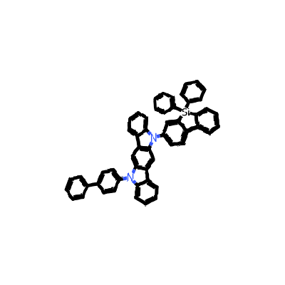 c1ccc(-c2ccc(-n3c4ccccc4c4cc5c(cc43)c3ccccc3n5-c3ccc4c(c3)[Si](c3ccccc3)(c3ccccc3)c3ccccc3-4)cc2)cc1